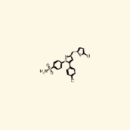 NS(=O)(=O)c1ccc(-n2nc(Cc3ccc(Cl)s3)cc2-c2ccc(Cl)cc2)cc1